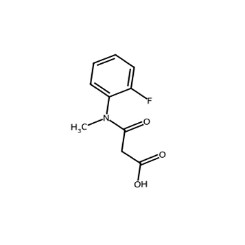 CN(C(=O)CC(=O)O)c1ccccc1F